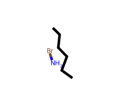 CCCCCC.NBr